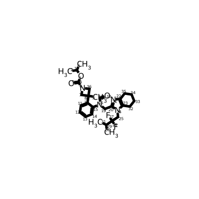 CC(C)OC(=O)N1CC(C)(c2ccccc2N(C=O)Cc2nc3c(n2CC(F)(F)C(C)C)CCCC3)C1